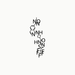 Cc1nc(-c2ccc3ccnc(NC4CC(C(=O)Nc5ncc(C(F)(F)C(F)(F)F)s5)C4)c3c2)no1